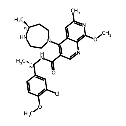 COc1ccc([C@H](C)NC(=O)c2cnc3c(OC)nc(C)cc3c2N2CCN[C@@H](C)CC2)cc1Cl